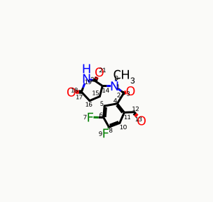 CN(C(=O)c1cc(F)c(F)cc1C=O)C1CCC(=O)NC1=O